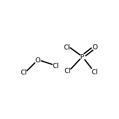 ClOCl.O=P(Cl)(Cl)Cl